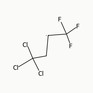 FC(F)(F)[CH]CC(Cl)(Cl)Cl